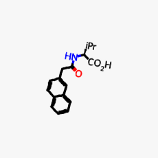 CC(C)[C@H](NC(=O)Cc1ccc2ccccc2c1)C(=O)O